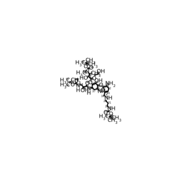 C[C@@H]([C@@H](O)[C@H](OCCO)O[C@@H]1[C@@H](O)[C@H](O[C@H]2OC(CNCCCNC(=O)OC(C)(C)C)=CC[C@H]2N)[C@@H](N)C[C@H]1NC(=O)[C@H](O)CNC(=O)OC(C)(C)C)N(C)C(=O)OC(C)(C)C